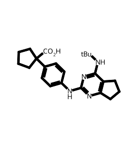 CC(C)(C)Nc1nc(Nc2ccc(C3(C(=O)O)CCCC3)cc2)nc2c1CCC2